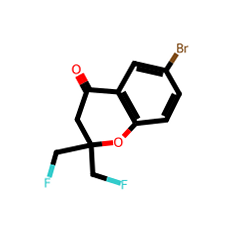 O=C1CC(CF)(CF)Oc2ccc(Br)cc21